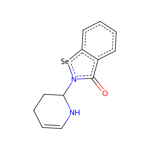 O=c1c2ccccc2[se]n1C1CCC=CN1